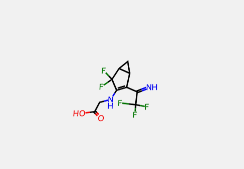 N=C(C1=C(NCC(=O)O)C(F)(F)C2CC12)C(F)(F)F